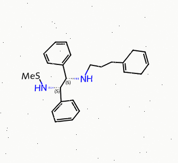 CSN[C@@H](c1ccccc1)[C@@H](NCCCC1=CCC=CC1)c1ccccc1